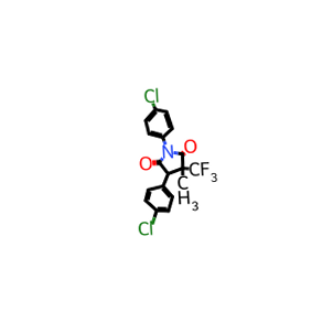 CC1(C(F)(F)F)C(=O)N(c2ccc(Cl)cc2)C(=O)C1c1ccc(Cl)cc1